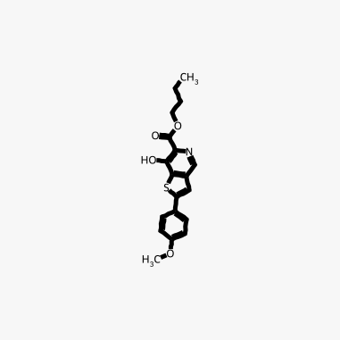 CCCCOC(=O)c1ncc2cc(-c3ccc(OC)cc3)sc2c1O